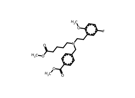 COC(=O)CCCCN(CCc1cc(F)ccc1OC)Cc1ccc(C(=O)OC)cc1